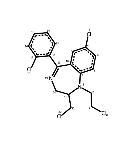 ClCCN1c2ccc(Cl)cc2C(c2ccccc2Cl)=NCC1CCl